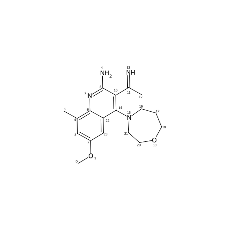 COc1cc(C)c2nc(N)c(C(C)=N)c(N3CCCOCC3)c2c1